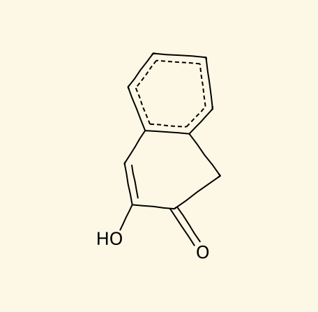 O=C1Cc2ccccc2C=C1O